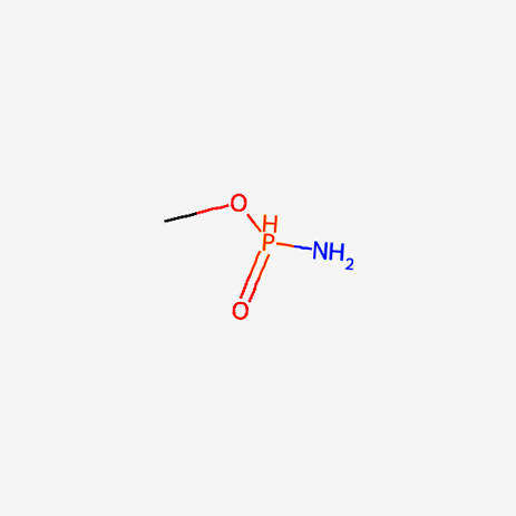 CO[PH](N)=O